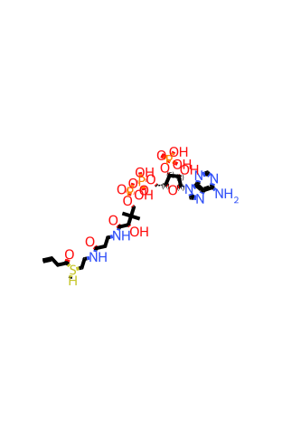 C=CCC(=O)[SH](C)CCNC(=O)CCNC(=O)C(O)C(C)(C)COP(=O)(O)OP(=O)(O)OC[C@H]1O[C@@H](n2cnc3c(N)ncnc32)[C@H](O)[C@@H]1OP(=O)(O)O